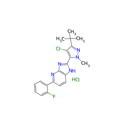 Cl.Cn1nc(C(C)(C)C)c(Cl)c1-c1nc2nc(-c3ccccc3F)ccc2[nH]1